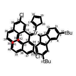 CC(C)(C)c1ccc2c(c1)-c1cc(C(C)(C)C)ccc1[CH]2[Zr]([C]1=CC=CC1)=[C](c1cc(Cl)cc2ccccc12)c1cc(Cl)cc2ccccc12